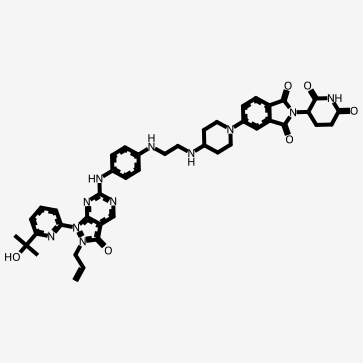 C=CCn1c(=O)c2cnc(Nc3ccc(NCCNC4CCN(c5ccc6c(c5)C(=O)N(C5CCC(=O)NC5=O)C6=O)CC4)cc3)nc2n1-c1cccc(C(C)(C)O)n1